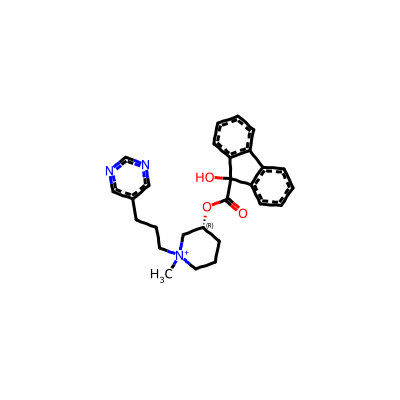 C[N+]1(CCCc2cncnc2)CCC[C@@H](OC(=O)C2(O)c3ccccc3-c3ccccc32)C1